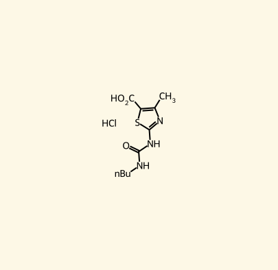 CCCCNC(=O)Nc1nc(C)c(C(=O)O)s1.Cl